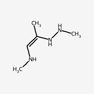 CN/C=C(/C)NNC